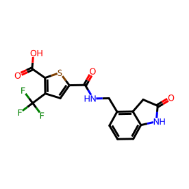 O=C1Cc2c(CNC(=O)c3cc(C(F)(F)F)c(C(=O)O)s3)cccc2N1